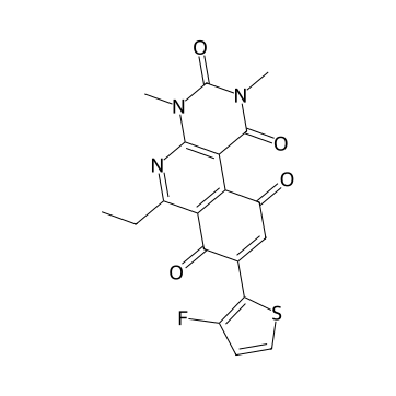 CCc1nc2c(c3c1C(=O)C(c1sccc1F)=CC3=O)c(=O)n(C)c(=O)n2C